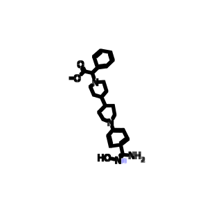 COC(=O)C(c1ccccc1)N1CCC(C2CCN(c3ccc(/C(N)=N\O)cc3)CC2)CC1